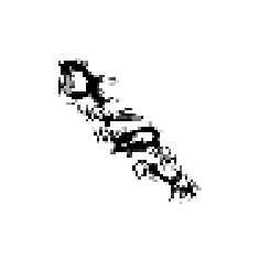 O=C(Nc1ccc(NC(=S)NCc2cccnc2)cc1)c1csnn1